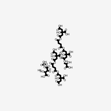 CC(O)C(=O)O.O=C(O)C(O)C(O)C(=O)OP(=O)(O)O.O=C(O)CC(O)(CC(=O)OC(=O)CCC(=O)OC(=O)CC(O)(CC(=O)O)C(=O)O)C(=O)O.O=C(O)CC(O)(CC(=O)OC(=O)CCC(=O)OC(=O)CC(O)(CC(=O)O)C(=O)O)C(=O)O.[KH]